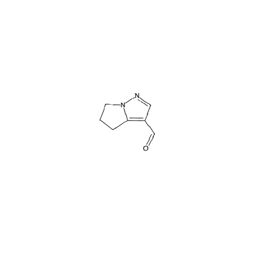 O=Cc1cnn2c1CCC2